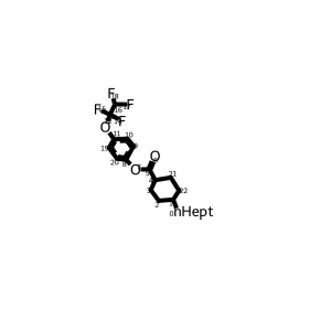 CCCCCCCC1CCC(C(=O)Oc2ccc(OC(F)(F)C(F)F)cc2)CC1